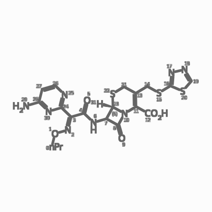 CCCON=C(C(=O)NC1C(=O)N2C(C(=O)O)=C(CSc3nncs3)CS[C@@H]12)c1nccc(N)n1